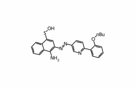 CCCCOc1ccccc1-c1ccc(/N=N/c2cc(SO)c3ccccc3c2N)cn1